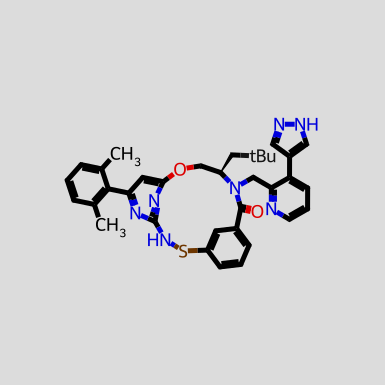 Cc1cccc(C)c1-c1cc2nc(n1)NSc1cccc(c1)C(=O)N(Cc1ncccc1-c1cn[nH]c1)[C@H](CC(C)(C)C)CO2